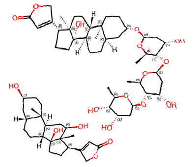 C[C@H]1O[C@@H](O[C@H]2[C@@H](O)C[C@H](O[C@H]3[C@@H](O)C[C@H](O[C@H]4CC[C@@]5(C)[C@H](CC[C@@H]6[C@@H]5CC[C@]5(C)[C@@H](C7=CC(=O)OC7)CC[C@]65O)C4)O[C@@H]3C)O[C@@H]2C)C[C@H](O)[C@@H]1O.C[C@]12CC[C@H](O)C[C@H]1CC[C@@H]1[C@@H]2C[C@@H](O)[C@]2(C)[C@@H](C3=CC(=O)OC3)CC[C@]12O